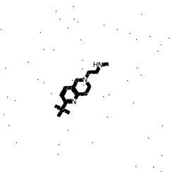 CNCCN1CCc2nc(C(C)(C)C)ccc2C1